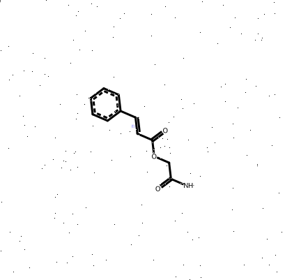 [NH]C(=O)COC(=O)/C=C/c1ccccc1